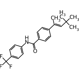 C/C(=C\C(C)(C)C)c1ccc(C(=O)Nc2ccc(C(F)(F)F)cc2)cc1